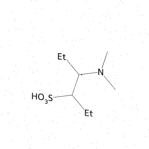 CC[C](C(CC)S(=O)(=O)O)N(C)C